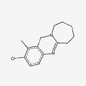 Cc1c(Cl)ccc2c1CN1CCCCCC1=N2